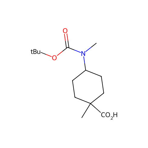 CN(C(=O)OC(C)(C)C)C1CCC(C)(C(=O)O)CC1